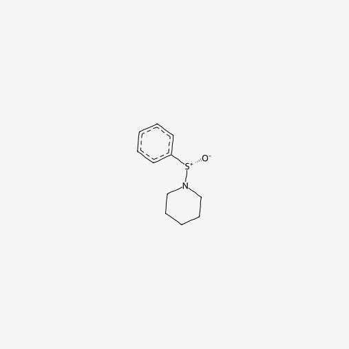 [O-][S@@+](c1ccccc1)N1CCCCC1